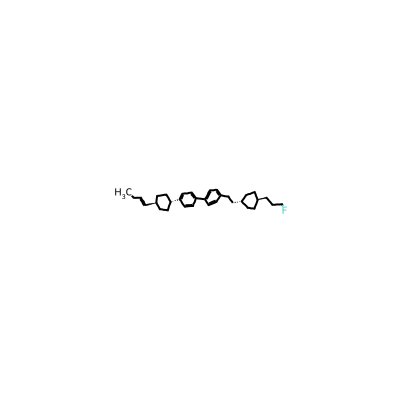 CCC=C[C@H]1CC[C@H](c2ccc(-c3ccc(CC[C@H]4CC[C@H](CCCF)CC4)cc3)cc2)CC1